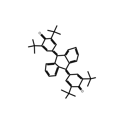 CC(C)(C)C1=CC(=c2c3ccccc3c(=C3C=C(C(C)(C)C)C(=O)C(C(C)(C)C)=C3)c3ccccc23)C=C(C(C)(C)C)C1=O